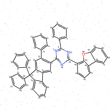 c1ccc(-c2nc(-c3cc4c(cc3-c3ccccc3)C(c3ccccc3)(c3ccccc3)c3ccccc3-4)nc(-c3cccc4c3oc3ccccc34)n2)cc1